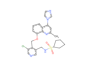 Cc1cc(-n2ccnc2)c2cccc(OCc3c(Cl)cncc3CNS(=O)(=O)C3CCCC3)c2n1